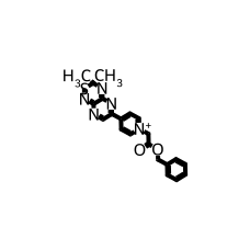 CC1(C)N=c2nc(-c3cc[n+](CC(=O)OCc4ccccc4)cc3)cnc2=NS1